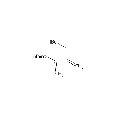 C=CCC(C)(C)C.C=CCCCCC